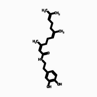 CC(C)=CCCC(C)=CCCC(C)=CC(=O)NCCc1ccc(O)c(O)c1